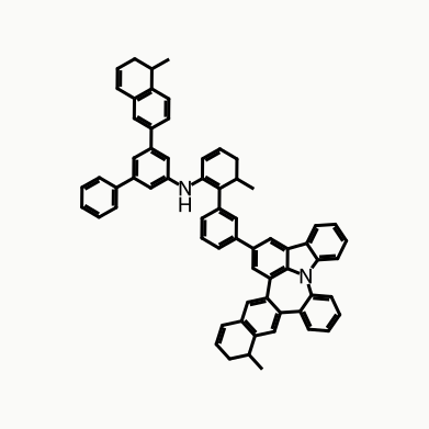 CC1CC=CC(Nc2cc(-c3ccccc3)cc(-c3ccc4c(c3)C=CCC4C)c2)=C1c1cccc(-c2cc3c4c(c2)c2ccccc2n4-c2ccccc2-c2cc4c(cc2-3)C=CCC4C)c1